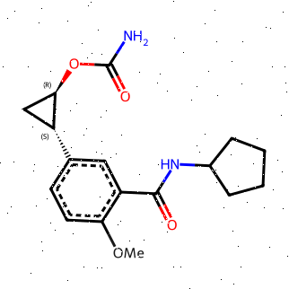 COc1ccc([C@@H]2C[C@H]2OC(N)=O)cc1C(=O)NC1CCCC1